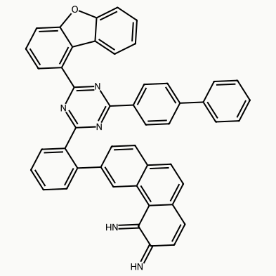 N=C1C=Cc2ccc3ccc(-c4ccccc4-c4nc(-c5ccc(-c6ccccc6)cc5)nc(-c5cccc6oc7ccccc7c56)n4)cc3c2C1=N